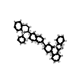 c1ccc(N2c3ccccc3CCC2c2ccc3cc(-c4ccc5c6ccccc6c6nc7ccccc7n6c5c4)ccc3c2)cc1